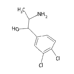 CC(N)C(O)c1ccc(Cl)c(Cl)c1